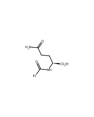 CCOC(=O)[C@H](CCC(N)=O)NC(=O)CC